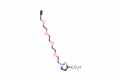 C#CCOCCOCCOCCOCCn1ccc(C(=O)O)n1